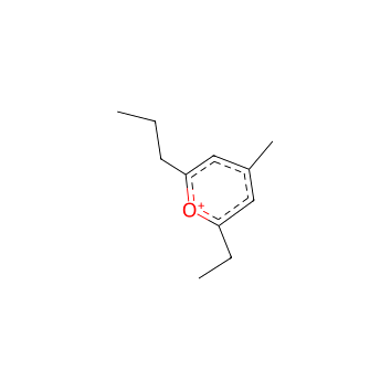 CCCc1cc(C)cc(CC)[o+]1